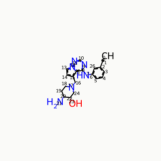 C#Cc1cccc(Nc2ncnn3ccc(CN4CC[C@H](N)[C@@H](O)C4)c23)c1